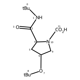 CC(C)(C)NC(=O)C1CC(OC(C)(C)C)CN1C(=O)O